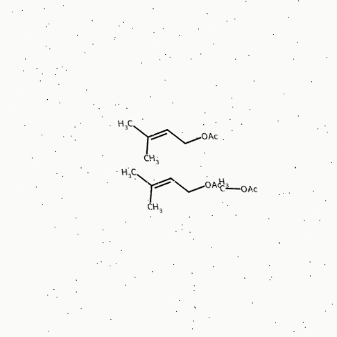 CC(=O)OCC=C(C)C.CC(=O)OCC=C(C)C.COC(C)=O